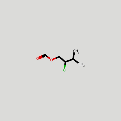 CC(C)C(Cl)COC=O